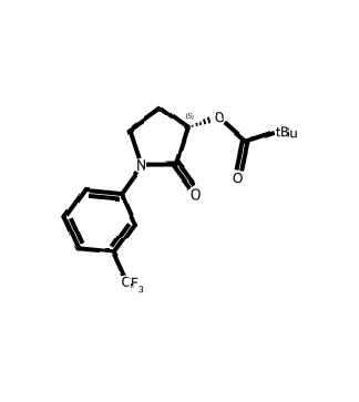 CC(C)(C)C(=O)O[C@H]1CCN(c2cccc(C(F)(F)F)c2)C1=O